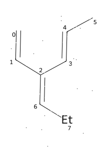 C=CC(C=CC)=CCC